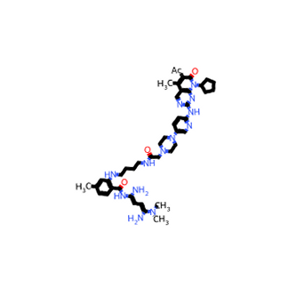 CC(=O)c1c(C)c2cnc(Nc3ccc(N4CCN(CC(=O)NCCCCNc5cc(C)ccc5C(=O)N/C(N)=C/C=C(\N)N(C)C)CC4)cn3)nc2n(C2CCCC2)c1=O